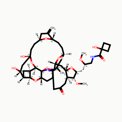 C=C1C[C@@H]2CC[C@@]3(O)C[C@@H](O)[C@@H]4C[C@@H]5[C@H]4O[C@H]4CC[C@@H]6CC(=O)C[C@@H]7[C@@H](OC)[C@@H](C[C@@H](CNC(=O)C8(O)CCC8)OC)O[C@H]7C[C@H]7O[C@@H](CC[C@@H]1O2)C[C@@H](C)/C7=N/[C@@]4(O6)[C@@H]5O3